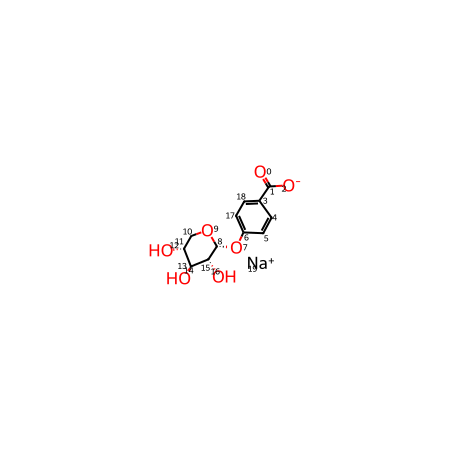 O=C([O-])c1ccc(O[C@H]2OC[C@@H](O)[C@H](O)[C@H]2O)cc1.[Na+]